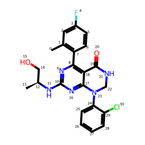 Cc1cc(F)ccc1-c1nc(N[C@@H](C)CO)nc2c1C(=O)NCN2c1ccccc1Cl